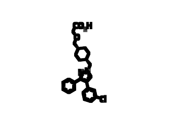 O=C(O)COC[C@H]1CC[C@@H](Cn2cc(-c3cccc(Cl)c3)c(-c3ccccc3)n2)CC1